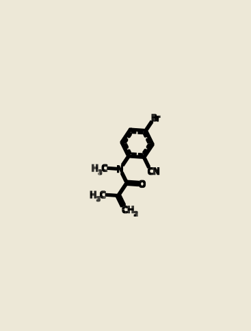 C=C(C)C(=O)N(C)c1ccc(Br)cc1C#N